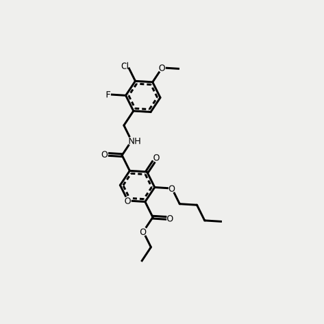 CCCCOc1c(C(=O)OCC)occ(C(=O)NCc2ccc(OC)c(Cl)c2F)c1=O